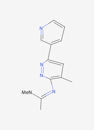 CN/C(C)=N\c1nnc(-c2cccnc2)cc1C